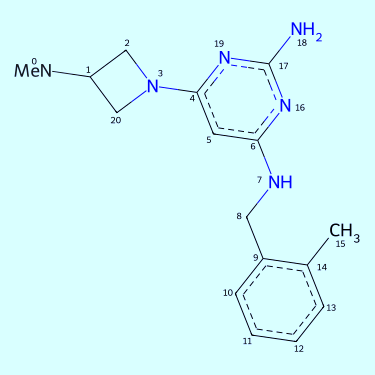 CNC1CN(c2cc(NCc3ccccc3C)nc(N)n2)C1